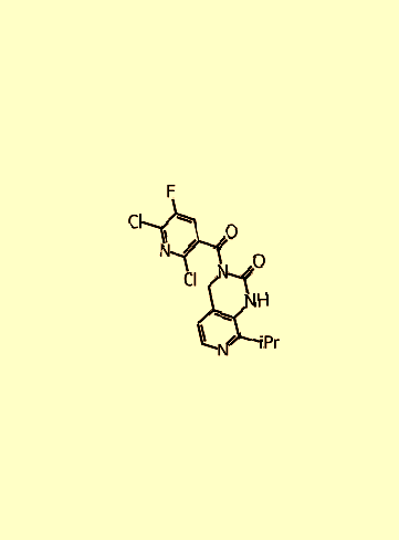 CC(C)c1nccc2c1NC(=O)N(C(=O)c1cc(F)c(Cl)nc1Cl)C2